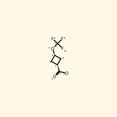 O=C(Cl)[C@H]1C[C@@H](OC(F)(F)F)C1